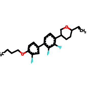 C=CC1CCC(c2ccc(-c3ccc(OCCCC)c(F)c3)c(F)c2F)CO1